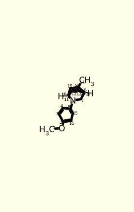 COc1ccc(N2C[C@@H]3CC[C@H]2C=C3C)cc1